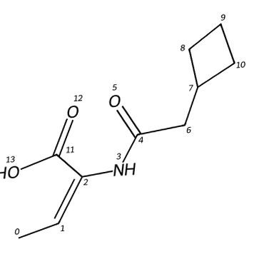 CC=C(NC(=O)CC1CCC1)C(=O)O